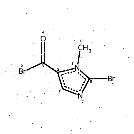 Cn1c(C(=O)Br)cnc1Br